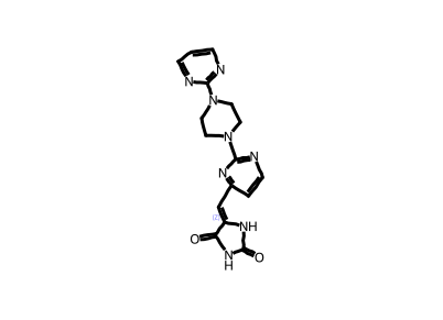 O=C1NC(=O)/C(=C/c2ccnc(N3CCN(c4ncccn4)CC3)n2)N1